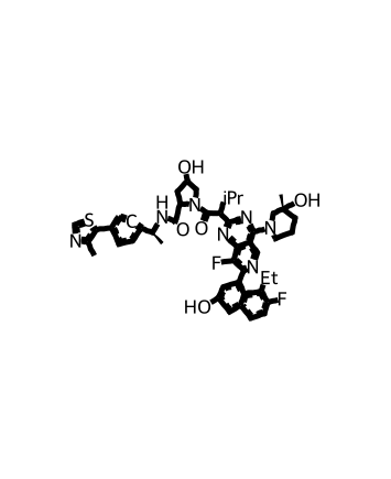 CCc1c(F)ccc2cc(O)cc(-c3ncc4c(N5CCC[C@@](C)(O)C5)nc(C(C(=O)N5CC(O)CC5C(=O)N[C@@H](C)c5ccc(-c6scnc6C)cc5)C(C)C)nc4c3F)c12